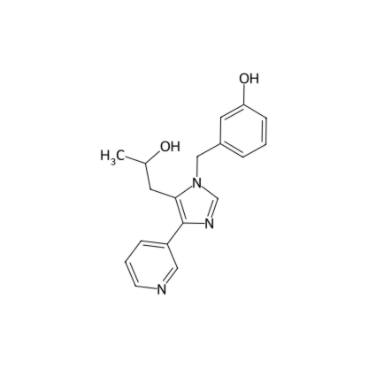 CC(O)Cc1c(-c2cccnc2)ncn1Cc1cccc(O)c1